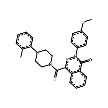 COc1ccc(-n2nc(C(=O)N3CCN(c4ccccc4F)CC3)c3ccccc3c2=O)cc1